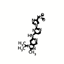 Cc1nc2cnc(Nc3ccnc(-n4cnc(C[SH](=O)=O)c4)n3)cc2n1C(C)C